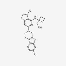 [O-][S@+]1CCc2nc(N3CCc4c(nc5cc(Cl)ccn45)C3)nc(NC3(CO)CCC3)c21